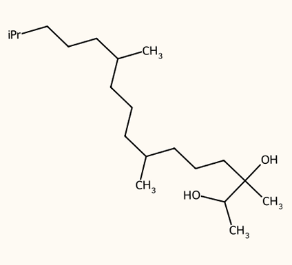 CC(C)CCCC(C)CCCC(C)CCCC(C)(O)C(C)O